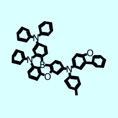 Cc1ccc(N(c2ccc3c(c2)Oc2cccc4c2B3c2ccc(N(c3ccccc3)c3ccccc3)cc2N4c2ccccc2)c2ccc3oc4ccccc4c3c2)cc1